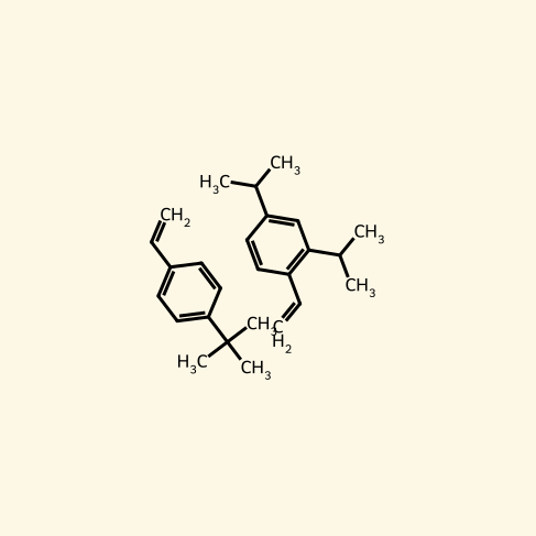 C=Cc1ccc(C(C)(C)C)cc1.C=Cc1ccc(C(C)C)cc1C(C)C